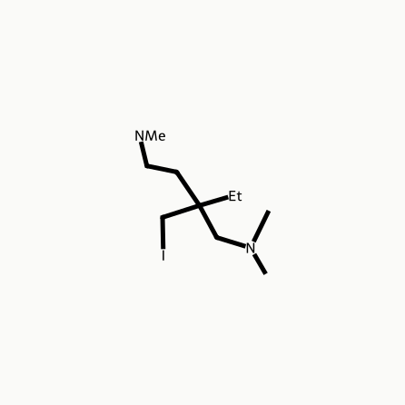 CCC(CI)(CCNC)CN(C)C